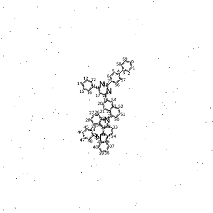 c1ccc(-c2ccc(-c3nc(-c4ccccc4)cc(-c4ccc5c(-n6c7ccccc7c7c6ccc6c8ccccc8n(-c8ccccc8)c67)cccc5c4)n3)cc2)cc1